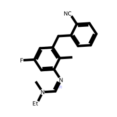 CCN(C)/C=N\c1cc(F)cc(Cc2ccccc2C#N)c1C